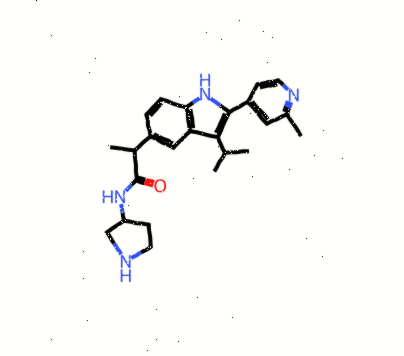 Cc1cc(-c2[nH]c3ccc(C(C)C(=O)NC4CCNC4)cc3c2C(C)C)ccn1